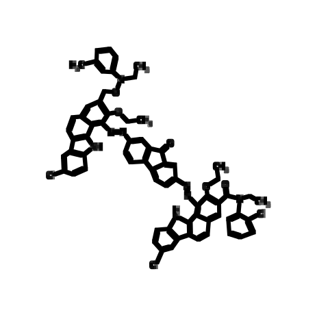 CCOc1c(CON(CC)c2cccc(C)c2)cc2ccc3c4cc(Cl)ccc4[nH]c3c2c1N=Nc1ccc2c(c1)C(=O)c1cc(N=Nc3c(OCC)c(C(=O)N(CC)c4ccccc4Cl)cc4ccc5c6cc(Cl)ccc6[nH]c5c34)ccc1-2